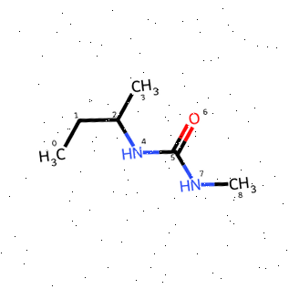 CCC(C)NC(=O)NC